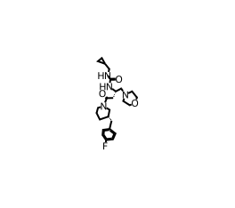 O=C(NCC1CC1)N[C@@H](CC(=O)N1CCC[C@@H](Cc2ccc(F)cc2)C1)CN1CCOCC1